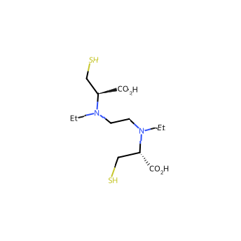 CCN(CCN(CC)[C@@H](CS)C(=O)O)[C@@H](CS)C(=O)O